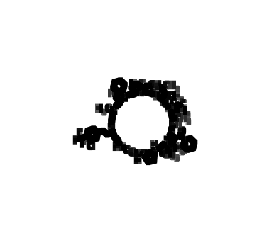 CC[C@H](C)[C@H]1CN[C@@H](CC(C)C)C(C)NCC2[C@@H](C(=O)N3CCCCC3)C(C)N2[C@@H](C(C)C)C(C)NC2(CCCC2)CNCCNC=CC(CCc2ccc(C(F)(F)F)c(Cl)c2)=NC=CN(C)C=C(CC2CCCCC2)N(C)C=C2CCCN2[C@@H](C(C)C)C(C)N1